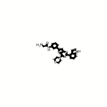 NCC(=O)Nc1cccc(-c2cc3nc(-c4cccc5[nH]ncc45)nc(N4CCOCC4)c3s2)c1